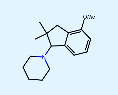 COc1cccc2c1CC(C)(C)C2N1CCCCC1